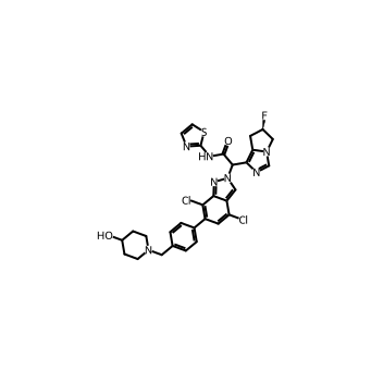 O=C(Nc1nccs1)C(c1ncn2c1C[C@@H](F)C2)n1cc2c(Cl)cc(-c3ccc(CN4CCC(O)CC4)cc3)c(Cl)c2n1